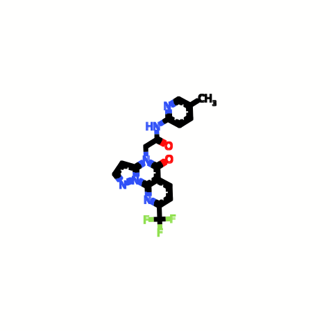 Cc1ccc(NC(=O)Cn2c(=O)c3ccc(C(F)(F)F)nc3n3nccc23)nc1